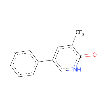 O=c1[nH]cc(-c2c[c]ccc2)cc1C(F)(F)F